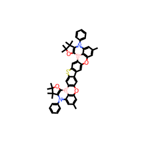 Cc1cc2c3c(c1)N(c1ccccc1)C1=C(OC(C)(C)C1(C)C)B3c1cc3sc4cc5c(cc4c3cc1O2)Oc1cc(C)cc2c1B5C1=C(N2c2ccccc2)C(C)(C)C(C)(C)O1